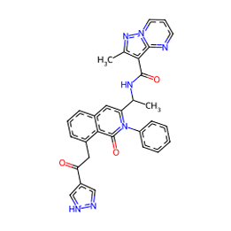 Cc1nn2cccnc2c1C(=O)NC(C)c1cc2cccc(CC(=O)c3cn[nH]c3)c2c(=O)n1-c1ccccc1